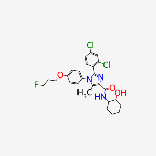 Cc1c(C(=O)NC2CCCCC2O)nc(-c2ccc(Cl)cc2Cl)n1-c1ccc(OCCCF)cc1